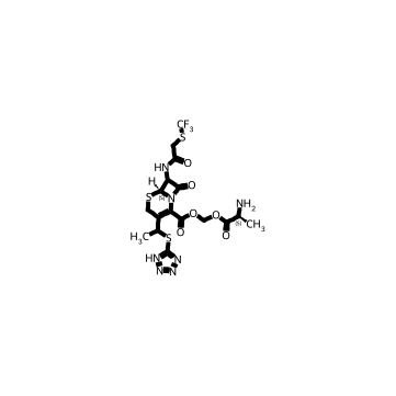 CC(Sc1nnn[nH]1)C1=C(C(=O)OCOC(=O)[C@H](C)N)N2C(=O)C(NC(=O)CSC(F)(F)F)[C@@H]2SC1